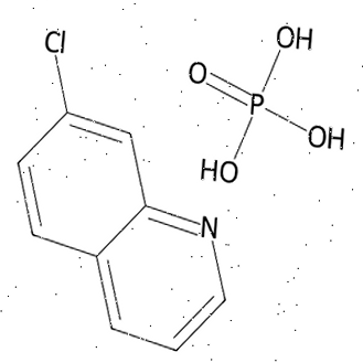 Clc1ccc2cccnc2c1.O=P(O)(O)O